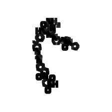 CC1(c2ccc(Nc3nc(N4CCCC(N5CCN(C6CCCC6)C5=O)C4)cnc3C(N)=O)cc2)CCN(C2CN(c3ccc4c(=O)n(C5CCC(=O)NC5=O)ccc4c3)C2)CC1